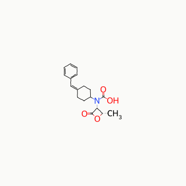 C[C@@H]1OC(=O)[C@@H]1N(C(=O)O)C1CCC(=Cc2ccccc2)CC1